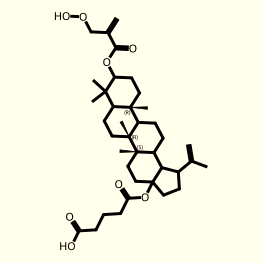 C=C(COO)C(=O)OC1CC[C@@]2(C)C(CC[C@]3(C)C2CCC2C4C(C(=C)C)CCC4(OC(=O)CCCC(=O)O)CC[C@@]23C)C1(C)C